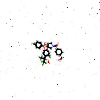 COC(c1ccc([C@]2(S(=O)(=O)c3ccc(F)cc3)CCN(C(=O)[C@H]3CC[C@H](CO)CC3)C2)cc1F)(C(F)(F)F)C(F)(F)F